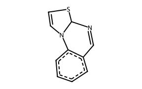 C1=CN2c3ccccc3C=NC2S1